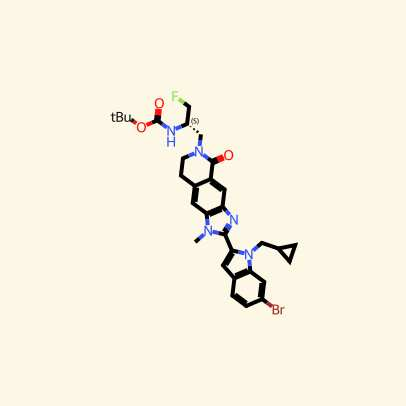 Cn1c(-c2cc3ccc(Br)cc3n2CC2CC2)nc2cc3c(cc21)CCN(C[C@@H](CF)NC(=O)OC(C)(C)C)C3=O